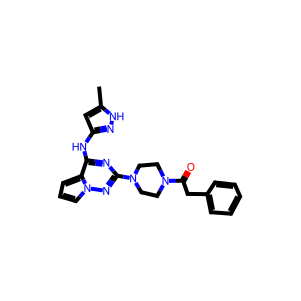 Cc1cc(Nc2nc(N3CCN(C(=O)Cc4ccccc4)CC3)nn3cccc23)n[nH]1